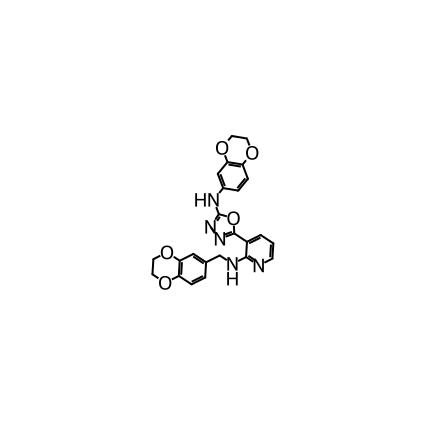 c1cnc(NCc2ccc3c(c2)OCCO3)c(-c2nnc(Nc3ccc4c(c3)OCCO4)o2)c1